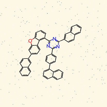 c1ccc2cc(-c3ccc4c(c3)oc3cccc(-c5nc(-c6ccc(-c7cccc8ccccc78)cc6)nc(-c6ccc7ccccc7c6)n5)c34)ccc2c1